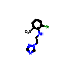 O=[N+]([O-])c1cccc(Br)c1NCCn1cncn1